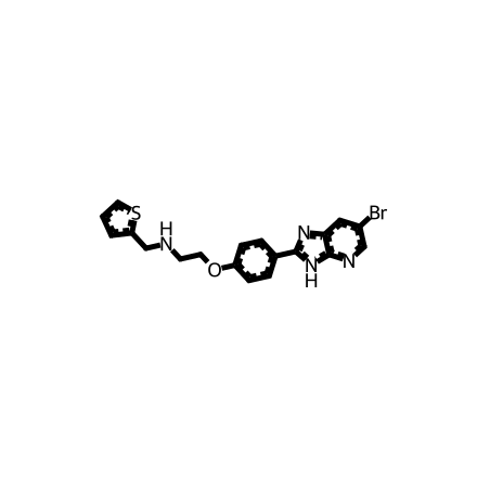 Brc1cnc2[nH]c(-c3ccc(OCCNCc4cccs4)cc3)nc2c1